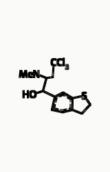 CNC(CC(Cl)(Cl)Cl)C(O)c1ccc2c(c1)SCC2